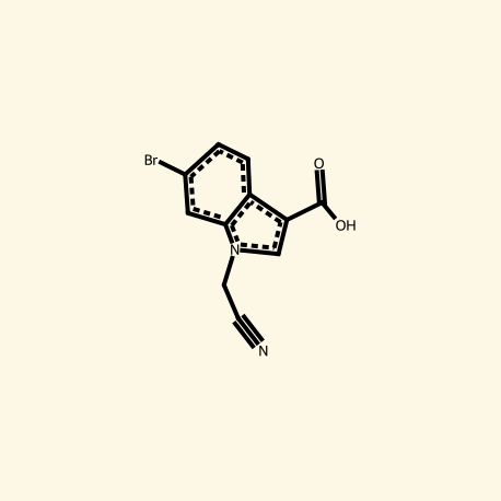 N#CCn1cc(C(=O)O)c2ccc(Br)cc21